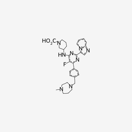 CN1CCCN(Cc2ccc(-c3nc(-c4cnc5ccccn45)nc(NC4CCCN(C(=O)O)C4)c3F)cc2)CC1